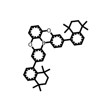 CC1(C)CCC(C)(C)c2c(-c3ccc4c(c3)Oc3cccc5c3B4c3ccc(-c4cccc6c4C(C)(C)CCC6(C)C)cc3O5)cccc21